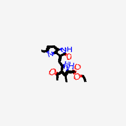 CCOC(=O)c1[nH]c(C=C2C(=O)Nc3ccc(C)nc32)c(C(C)=O)c1C